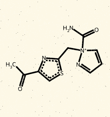 CC(=O)c1csc(C[N+]2(C(N)=O)C=[C]C=N2)n1